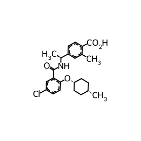 Cc1cc([C@H](C)NC(=O)c2cc(Cl)ccc2O[C@H]2CC[C@@H](C)CC2)ccc1C(=O)O